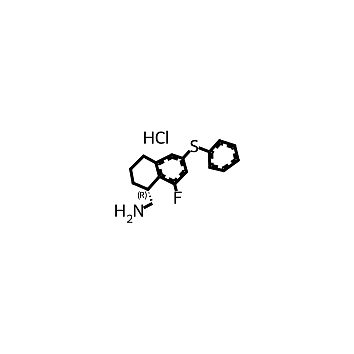 Cl.NC[C@@H]1CCCc2cc(Sc3ccccc3)cc(F)c21